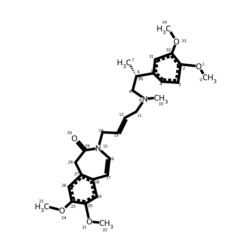 COc1ccc([C@@H](C)CN(C)CC=CCN2C=Cc3cc(OC)c(OC)cc3CC2=O)cc1OC